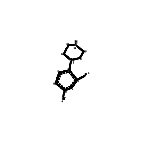 Fc1cc(Br)ccc1N1CCNCC1